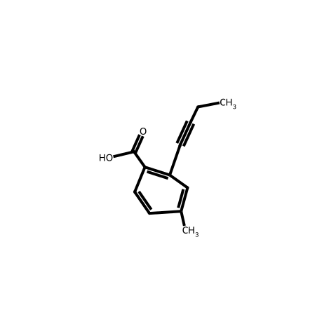 CCC#Cc1cc(C)ccc1C(=O)O